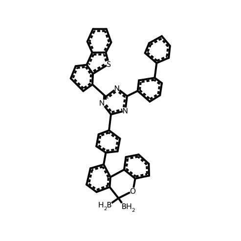 BC1(B)Oc2ccccc2-c2c(-c3ccc(-c4nc(-c5cccc(-c6ccccc6)c5)nc(-c5cccc6c5sc5ccccc56)n4)cc3)cccc21